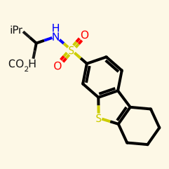 CC(C)C(NS(=O)(=O)c1ccc2c3c(sc2c1)CCCC3)C(=O)O